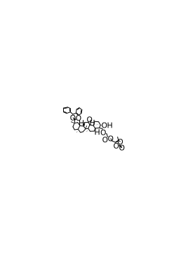 Cc1oc(=O)oc1COC(=O)COC[C@@]1(C)[C@@H]2CC[C@]3(C)[C@H](C(=O)C=C4[C@@H]5C[C@@](C)(C(=O)OC(c6ccccc6)c6ccccc6)CC[C@]5(C)CC[C@]43C)[C@@]2(C)CC[C@@H]1O